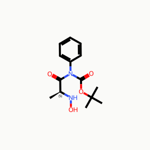 C[C@H](NO)C(=O)N(C(=O)OC(C)(C)C)c1ccccc1